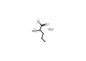 CCCC(O)C(=O)[O-].[Cs+]